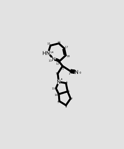 N#CC(CN1CC2CCCC2C1)C1=NNCCC=C1